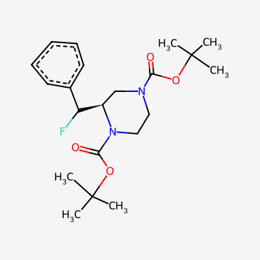 CC(C)(C)OC(=O)N1CCN(C(=O)OC(C)(C)C)[C@@H](C(F)c2ccccc2)C1